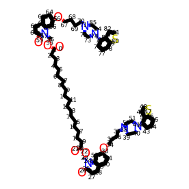 O=C(CCCCCCCCCCCCCCCCCCC(=O)OCn1c(=O)ccc2ccc(OCCCCN3CCN(c4cccc5sccc45)CC3)cc21)OCn1c(=O)ccc2ccc(OCCCCN3CCN(c4cccc5sccc45)CC3)cc21